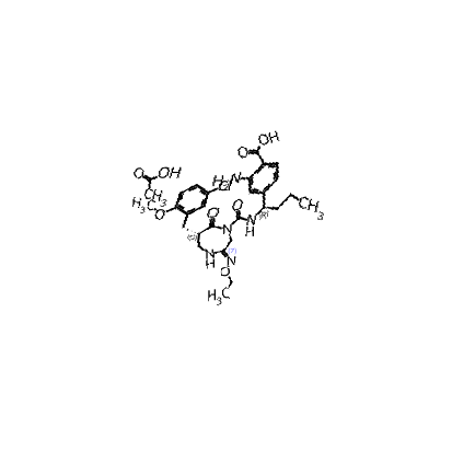 CC(=O)O.CCC[C@@H](NC(=O)N1C/C(=N/OCC)NC[C@H](Cc2cc(Cl)ccc2OC)C1=O)c1ccc(C(=O)O)c(N)c1